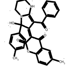 Cc1ccc(C2(O)C(=C3C(=O)Oc4ccc(C)cc4C3=O)C(C(=O)c3ccccc3)=C3NCCCN32)cc1